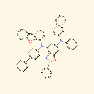 c1ccc(-c2ccc(N(c3cc(N(c4ccccc4)c4ccc5ccccc5c4)cc4oc(-c5ccccc5)nc34)c3cccc4c3oc3ccccc34)cc2)cc1